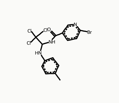 Cc1ccc(NC(NC(=O)c2ccc(Br)nc2)C(Cl)(Cl)Cl)cc1